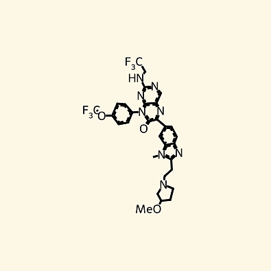 COC1CCN(CCc2nc3ccc(-c4nc5cnc(NCC(F)(F)F)nc5n(-c5ccc(OC(F)(F)F)cc5)c4=O)cc3n2C)C1